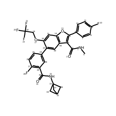 CNC(=O)c1c(-c2ccc(F)cc2)oc2cc(OCC(F)(F)F)c(-c3ccc(F)c(C(=O)NC45CC(C4)C5)c3)cc12